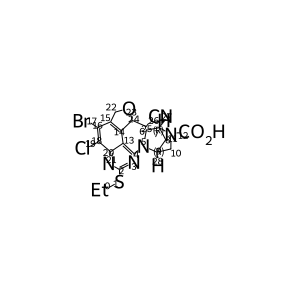 CCSc1nc(N2C[C@H]3C[C@@H]2CN3C(=O)O)c2c3c(c(Br)c(Cl)c2n1)COC3CC#N